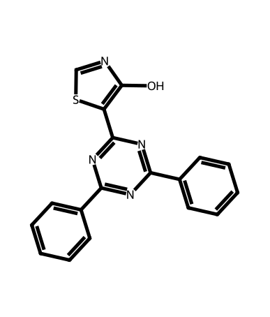 Oc1ncsc1-c1nc(-c2ccccc2)nc(-c2ccccc2)n1